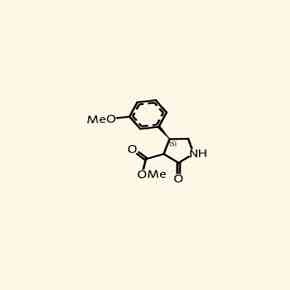 COC(=O)C1C(=O)NC[C@@H]1c1cccc(OC)c1